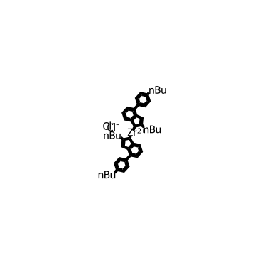 CCCCC1=Cc2c(-c3ccc(CCCC)cc3)cccc2[CH]1[Zr+2][CH]1C(CCCC)=Cc2c(-c3ccc(CCCC)cc3)cccc21.[Cl-].[Cl-]